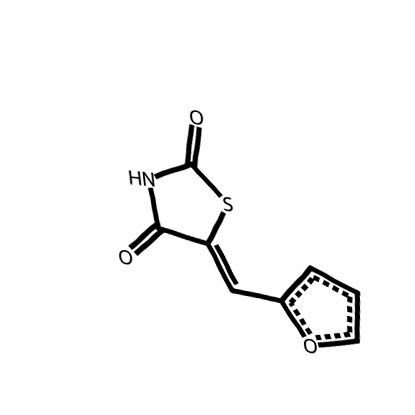 O=C1NC(=O)C(=Cc2ccco2)S1